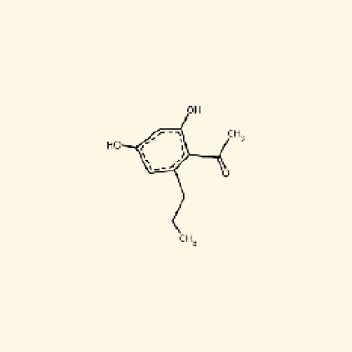 CCCc1cc(O)cc(O)c1C(C)=O